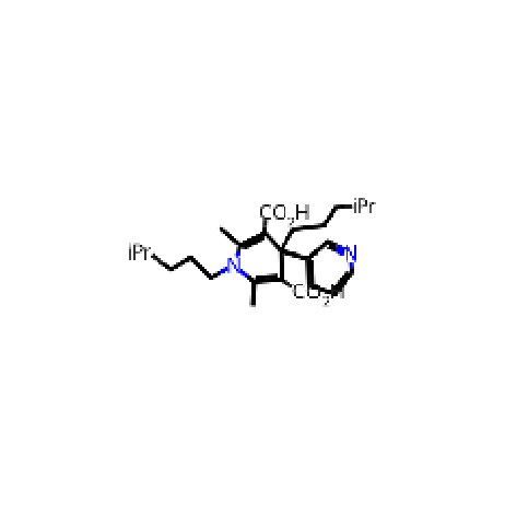 CC1=C(C(=O)O)C(CCCC(C)C)(c2cccnc2)C(C(=O)O)=C(C)N1CCCC(C)C